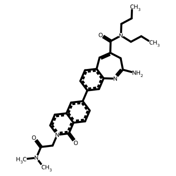 CCCN(CCC)C(=O)C1=Cc2ccc(-c3ccc4c(=O)n(CC(=O)N(C)C)ccc4c3)cc2N=C(N)C1